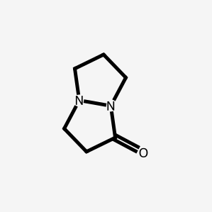 O=C1CCN2CCCN12